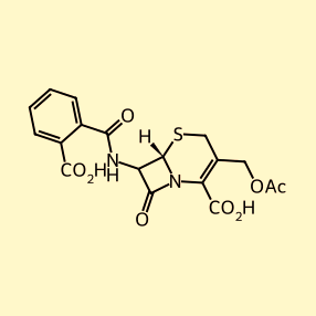 CC(=O)OCC1=C(C(=O)O)N2C(=O)C(NC(=O)c3ccccc3C(=O)O)[C@@H]2SC1